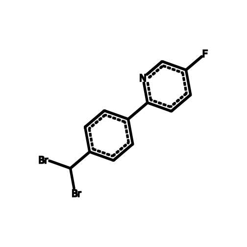 Fc1ccc(-c2ccc(C(Br)Br)cc2)nc1